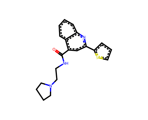 O=C(NCCN1CCCC1)c1cc(-c2cccs2)nc2ccccc12